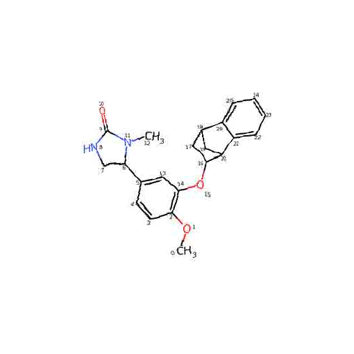 COc1ccc(C2CNC(=O)N2C)cc1OC1CC2CC1c1ccccc12